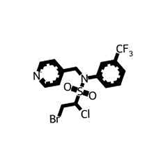 O=S(=O)(C(Cl)CBr)N(Cc1ccncc1)c1cccc(C(F)(F)F)c1